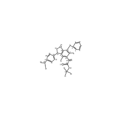 Cc1c(Cc2ccccc2)c2c(c(C)c1NC(=O)CC(C)(C)C)C(c1ccc(C(C)C)cc1)CO2